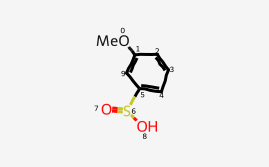 COc1cccc(S(=O)O)c1